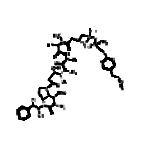 CC[C@@H](C)[C@H]([C@H](CC(=O)N1CCC[C@@H]1[C@@H](OC)[C@H](C)C(=O)N[C@@H](C)[C@H](O)c1ccccc1)OC)N(C)C(=O)C(NC(=O)[C@@H](C(C)C)N(C)C(=O)CCC[Si](C)(C)O[Si](C)(C)CSc1ncc(CN=[N+]=[N-])cn1)C(C)C